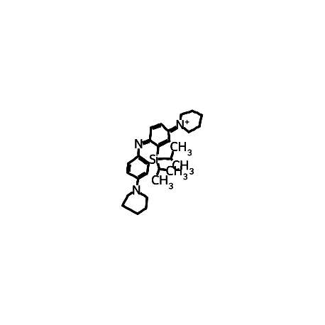 CC(C)[Si]1(C(C)C)C2=CC(=[N+]3CCCCC3)C=CC2=Nc2ccc(N3CCCCC3)cc21